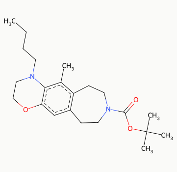 CCCCN1CCOc2cc3c(c(C)c21)CCN(C(=O)OC(C)(C)C)CC3